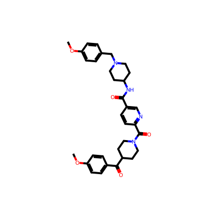 COc1ccc(CN2CCC(NC(=O)c3ccc(C(=O)N4CCC(C(=O)c5ccc(OC)cc5)CC4)nc3)CC2)cc1